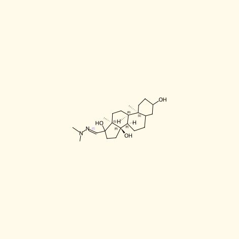 CN(C)/N=C/C1(O)CC[C@@]2(O)[C@@H]3CCC4CC(O)CC[C@]4(C)[C@@H]3CC[C@]12C